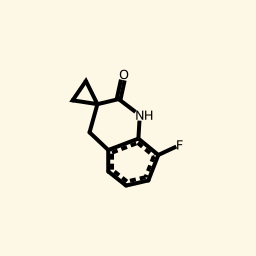 O=C1Nc2c(F)cccc2CC12CC2